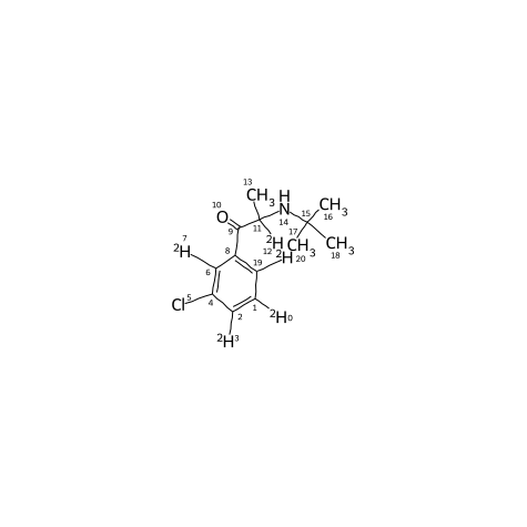 [2H]c1c([2H])c(Cl)c([2H])c(C(=O)C([2H])(C)NC(C)(C)C)c1[2H]